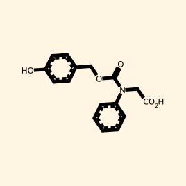 O=C(O)CN(C(=O)OCc1ccc(O)cc1)c1ccccc1